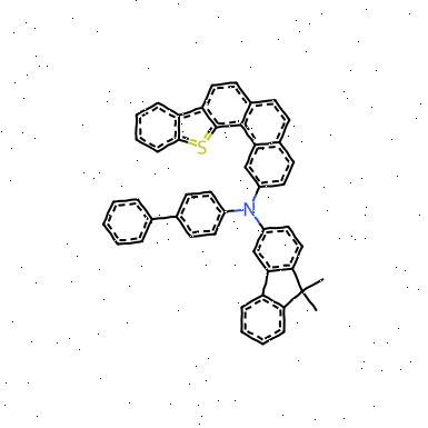 CC1(C)c2ccccc2-c2cc(N(c3ccc(-c4ccccc4)cc3)c3ccc4ccc5ccc6c7ccccc7sc6c5c4c3)ccc21